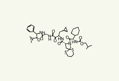 CC(C)COC(=O)N[C@H](C(=O)N1CC2(CC1C(=O)NC(CC1CC1)C(=O)C(=O)NCC(=O)NC(C(=O)N(C)C)c1ccccc1)SCCCS2)C1CCCCC1